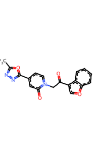 O=C(Cn1ccc(-c2nnc(C(F)(F)F)o2)cc1=O)c1coc2ccccc12